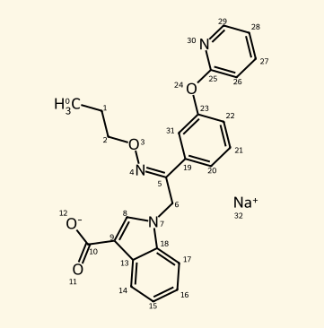 CCCON=C(Cn1cc(C(=O)[O-])c2ccccc21)c1cccc(Oc2ccccn2)c1.[Na+]